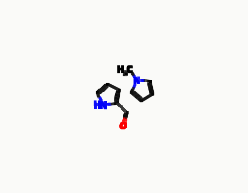 Cn1cccc1.O=Cc1ccc[nH]1